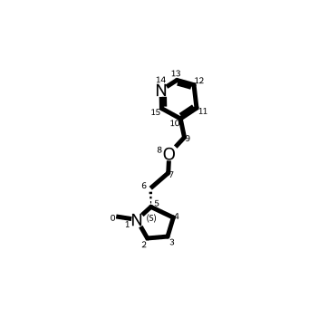 CN1CCC[C@H]1CCOCc1cccnc1